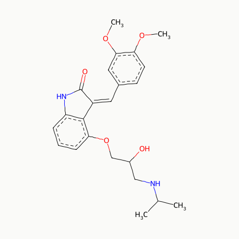 COc1ccc(C=C2C(=O)Nc3cccc(OCC(O)CNC(C)C)c32)cc1OC